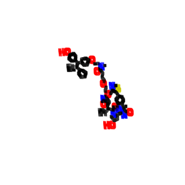 CC/C(=C(\c1ccc(O)cc1)c1ccc(OCCN(C)C(=O)CCCOCCOc2cc([C@@H](C(=O)N3C[C@H](O)C[C@@H]3C3=NC(=O)[C@@](C)(c4ccc(-c5scnc5C)cc4)N3)C(C)C)on2)cc1)c1ccccc1